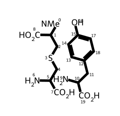 CNC(CSCC(N)C(=O)O)C(=O)O.NC(Cc1ccc(O)cc1)C(=O)O